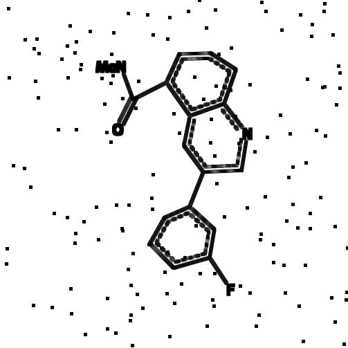 CNC(=O)c1cccc2ncc(-c3cccc(F)c3)cc12